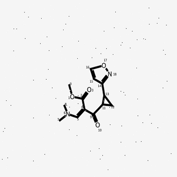 COC(=O)/C(=C\N(C)C)C(=O)C1CC1c1ccon1